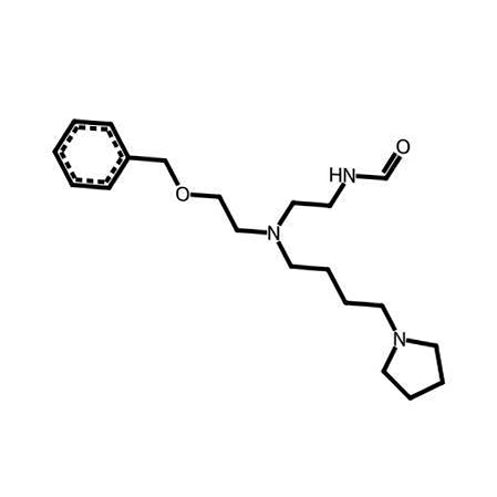 O=CNCCN(CCCCN1CCCC1)CCOCc1ccccc1